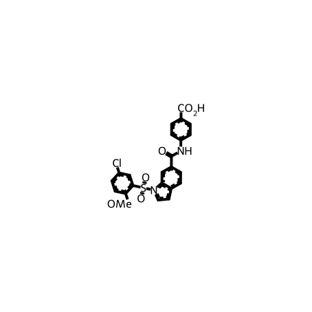 COc1ccc(Cl)cc1S(=O)(=O)n1ccc2ccc(C(=O)Nc3ccc(C(=O)O)cc3)cc21